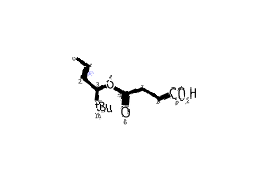 C/C=C/C(OC(=O)CCC(=O)O)C(C)(C)C